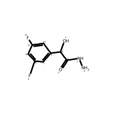 NNC(=O)C(O)c1cc(F)cc(F)c1